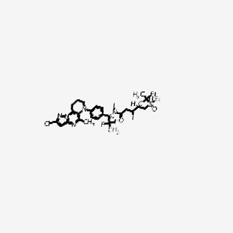 CCC(C)(C)[SH](=O)(CC)CCC(I)CC(=O)N(I)[C@@H](c1ccc(N2CCCc3c2c(C)nc2cc(Cl)nn32)cc1)C(C)(F)F